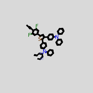 C=C/C=C(\C=C/C)N(c1ccccc1)c1ccc(-c2sc(-c3cc(F)c(C#CC)c(F)c3)cc2-c2ccc(N(c3ccccc3)c3ccccc3)cc2)cc1